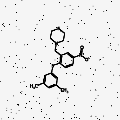 Cc1cc(C)cc(Sc2ccc([N+](=O)[O-])cc2CN2CCSCC2)c1